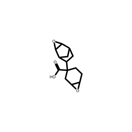 O=C(O)C1(C2CC3CC2C2OC32)CCC2OC2C1